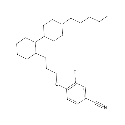 CCCCCC1CCC(C2CCCCC2CCCOc2ccc(C#N)cc2F)CC1